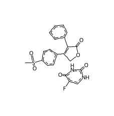 CS(=O)(=O)c1ccc(C2=C(c3ccccc3)C(=O)OC2)cc1.O=c1[nH]cc(F)c(=O)[nH]1